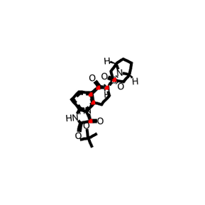 CC(C)(C)OC(=O)NC1CCN(S(=O)(=O)N2[C@@H]3CC[C@H]2C[C@H](NC(=O)c2ccc4c(c2)CC(=O)N4)C3)CC1